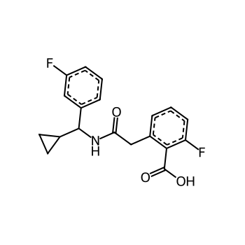 O=C(Cc1cccc(F)c1C(=O)O)NC(c1cccc(F)c1)C1CC1